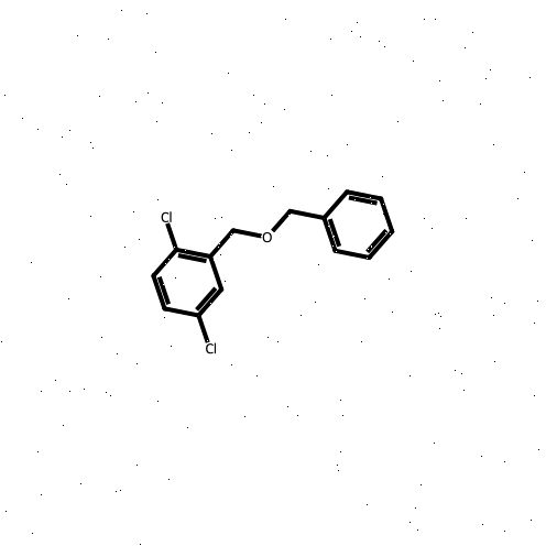 Clc1ccc(Cl)c(COCc2ccccc2)c1